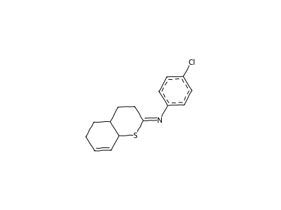 Clc1ccc(/N=C2\CCC3CCC=CC3S2)cc1